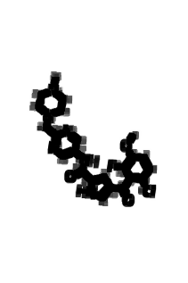 COc1ccc(Cl)c(C(=O)c2c[nH]c(C(=O)Nc3cnc(CN4CCN(C)CC4)nc3)c2)c1F